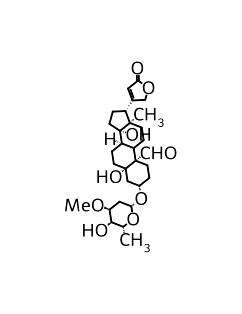 CO[C@H]1C[C@H](O[C@H]2CC[C@]3(C=O)C4CC[C@]5(C)[C@@H](C6=CC(=O)OC6)CC[C@]5(O)[C@@H]4CC[C@]3(O)C2)O[C@H](C)[C@H]1O